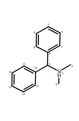 C[SiH](C)C(c1ccccc1)c1ccccc1